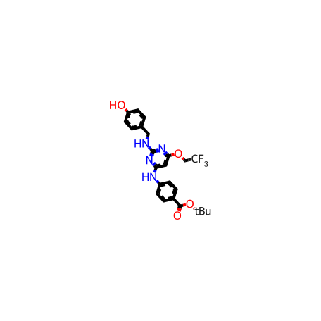 CC(C)(C)OC(=O)c1ccc(Nc2cc(OCC(F)(F)F)nc(NCc3ccc(O)cc3)n2)cc1